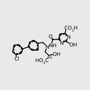 O=C(O)c1cc(C(=O)NN(Cc2ccc(-c3cccc(Cl)c3)cc2)C[C@@H](O)C(=O)O)nc(O)n1